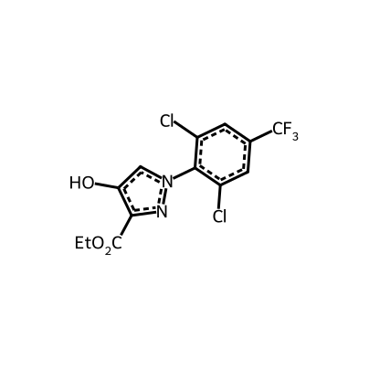 CCOC(=O)c1nn(-c2c(Cl)cc(C(F)(F)F)cc2Cl)cc1O